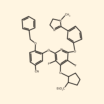 CCOC(=O)C1CCCC1Oc1c(F)c(Oc2cccc(C3=NCCN3C)c2)nc(Oc2cc(C#N)ccc2OCc2ccccc2)c1F